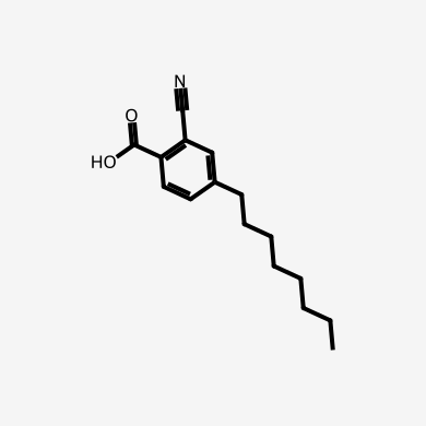 CCCCCCCCc1ccc(C(=O)O)c(C#N)c1